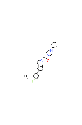 Cc1cc(-c2ccc3c(c2)CCN(CC(=O)N2CCN(C4CCCCC4)CC2)C3)ccc1F